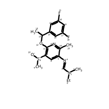 CCN(C)/C=N/c1cc([S+](C)[O-])c(OC(C)c2cc(F)cc(F)c2)nc1C